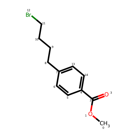 COC(=O)c1ccc(CCCCBr)cc1